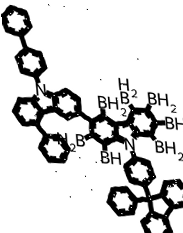 Bc1c(B)c(B)c2c(c1B)c1c(B)c(-c3ccc4c(c3)c3c(-c5ccccc5)cccc3n4-c3ccc(-c4ccccc4)cc3)c(B)c(B)c1n2-c1ccc(C2(c3ccccc3)c3ccccc3-c3ccccc32)cc1